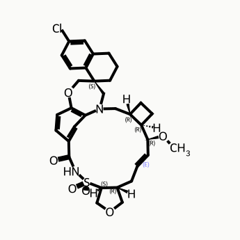 CO[C@H]1/C=C/C[C@@H]2COC[C@H]2S(=O)(=O)NC(=O)c2ccc3c(c2)N(C[C@@H]2CC[C@H]21)C[C@@]1(CCCc2cc(Cl)ccc21)CO3